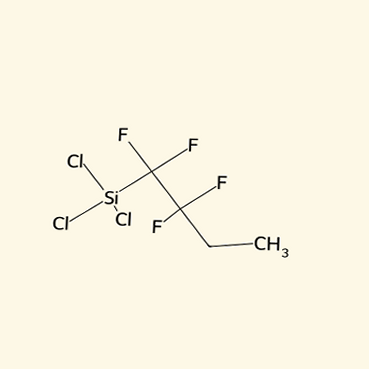 CCC(F)(F)C(F)(F)[Si](Cl)(Cl)Cl